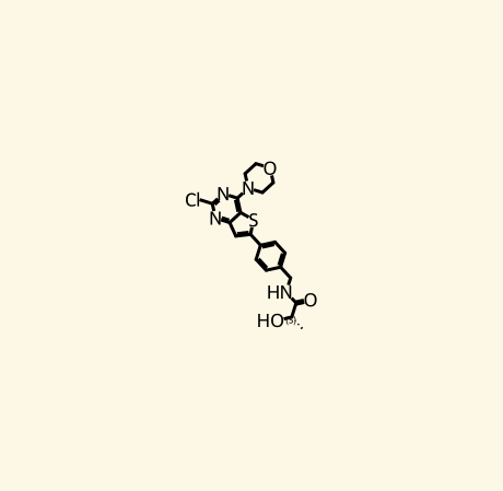 C[C@H](O)C(=O)NCc1ccc(-c2cc3nc(Cl)nc(N4CCOCC4)c3s2)cc1